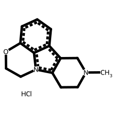 CN1CCc2c(c3cccc4c3n2CCO4)C1.Cl